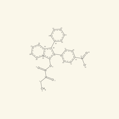 CCC(=O)C(=O)Oc1c(-c2ccc([N+](=O)[O-])cc2)c(-c2ccccc2)c2ccccn12